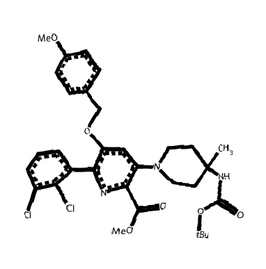 COC(=O)c1nc(-c2cccc(Cl)c2Cl)c(OCc2ccc(OC)cc2)cc1N1CCC(C)(NC(=O)OC(C)(C)C)CC1